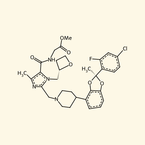 COC(=O)CNC(=O)c1c(C)nc(CN2CCC(c3cccc4c3O[C@@](C)(c3ccc(Cl)cc3F)O4)CC2)n1C[C@@H]1CCO1